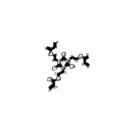 C=CC(=C)OCCn1c(=O)n(CCOC(=C)C=C)c(=O)n(CCOC(=O)C=C)c1=O